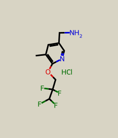 Cc1cc(CN)cnc1OCC(F)(F)C(F)F.Cl